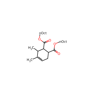 CCCCCCCCOC(=O)C1CC=C(C)C(C)C1C(=O)OCCCCCCCC